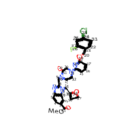 COC(=O)c1ccc2nc(CN3CCN(c4cccc(OCc5ccc(Cl)cc5F)n4)CC3=O)n(C[C@@H]3CCO3)c2c1